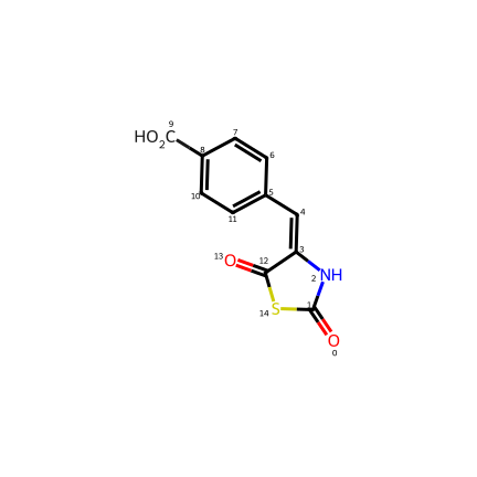 O=C1NC(=Cc2ccc(C(=O)O)cc2)C(=O)S1